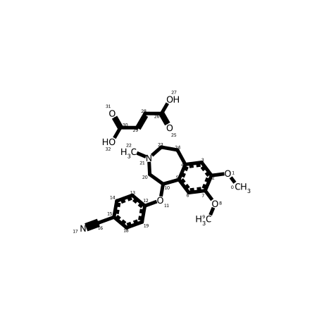 COc1cc2c(cc1OC)C(Oc1ccc(C#N)cc1)CN(C)CC2.O=C(O)C=CC(=O)O